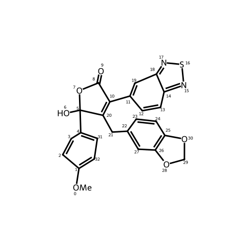 COc1ccc(C2(O)OC(=O)C(c3ccc4nsnc4c3)=C2Cc2ccc3c(c2)OCO3)cc1